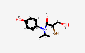 CC(C)N(C(=O)C(S)CO)c1ccc(O)cc1